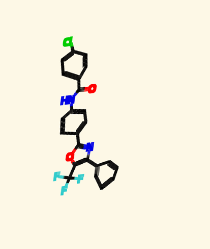 O=C(Nc1ccc(-c2nc(-c3ccccc3)c(C(F)(F)F)o2)cc1)c1ccc(Cl)cc1